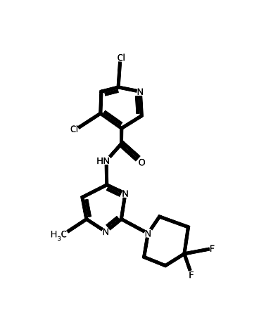 Cc1cc(NC(=O)c2cnc(Cl)cc2Cl)nc(N2CCC(F)(F)CC2)n1